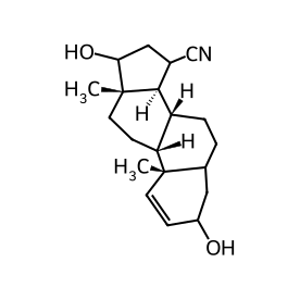 C[C@]12C=CC(O)CC1CC[C@@H]1[C@H]2CC[C@]2(C)C(O)CC(C#N)[C@@H]12